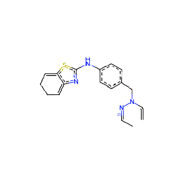 C=CN(Cc1ccc(Nc2nc3c(s2)=CCCC=3)cc1)/N=C\C